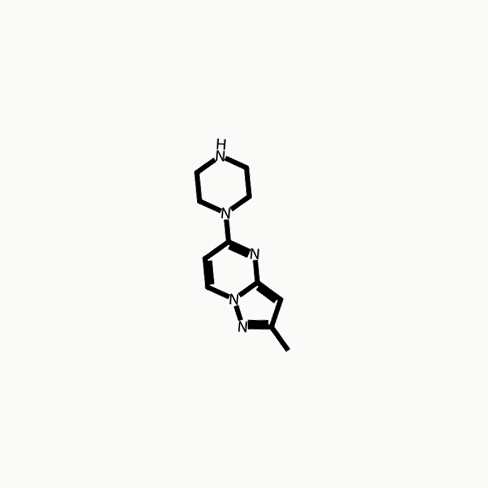 Cc1cc2nc(N3CCNCC3)ccn2n1